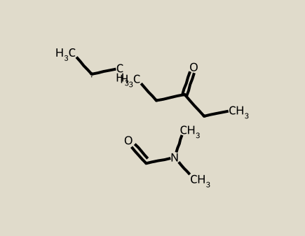 CCC(=O)CC.CN(C)C=O.C[CH]C